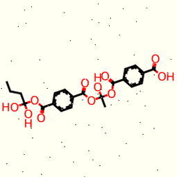 CCCC(O)(O)OC(=O)c1ccc(C(=O)OC(C)(O)OC(=O)c2ccc(C(=O)O)cc2)cc1